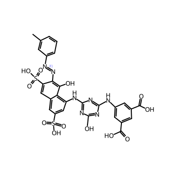 Cc1cccc(/N=N/c2c(S(=O)(=O)O)cc3cc(S(=O)(=O)O)cc(Nc4nc(O)nc(Nc5cc(C(=O)O)cc(C(=O)O)c5)n4)c3c2O)c1